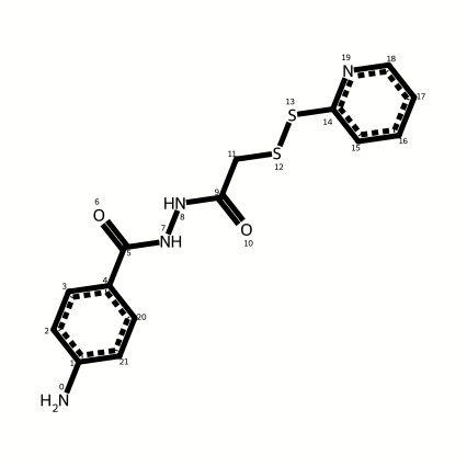 Nc1ccc(C(=O)NNC(=O)CSSc2ccccn2)cc1